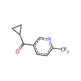 O=C(c1ccc(C(F)(F)F)nc1)C1CC1